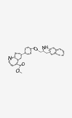 COC(=O)c1ccnc2ccc(-c3ccc(OC[C@@H](N)Cc4ccc5ccccc5c4)cc3)cc12